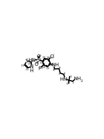 CC(C)(CN)NCCCCNc1cc(F)c(S(=O)(=O)NC2NC=CS2)cc1Cl